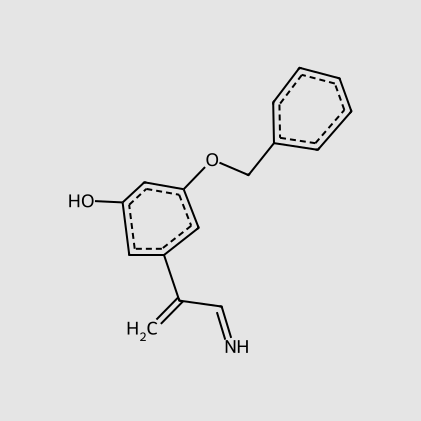 C=C(C=N)c1cc(O)cc(OCc2ccccc2)c1